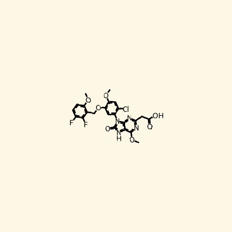 COc1cc(Cl)c(-n2c(=O)[nH]c3c(OC)nc(CC(=O)O)nc32)cc1OCc1c(OC)ccc(F)c1F